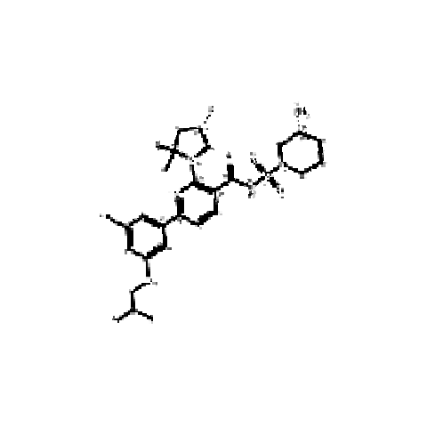 CC(C)COc1cc(F)cc(-c2ccc(C(=O)NS(=O)(=O)N3CCC[C@@H](N)C3)c(N3C[C@@H](C)CC3(C)C)n2)c1